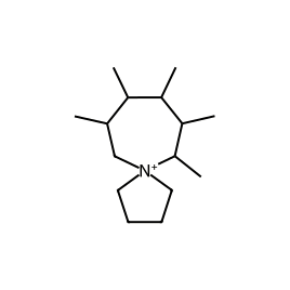 CC1C[N+]2(CCCC2)C(C)C(C)C(C)C1C